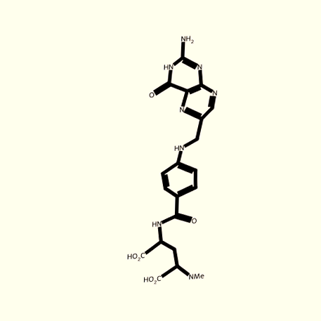 CNC(CC(NC(=O)c1ccc(NCc2cnc3nc(N)[nH]c(=O)c3n2)cc1)C(=O)O)C(=O)O